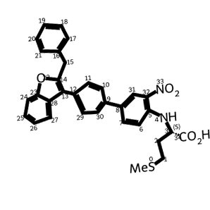 CSCC[C@H](Nc1ccc(-c2ccc(-c3c(Cc4ccccc4)oc4ccccc34)cc2)cc1[N+](=O)[O-])C(=O)O